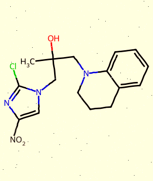 CC(O)(CN1CCCc2ccccc21)Cn1cc([N+](=O)[O-])nc1Cl